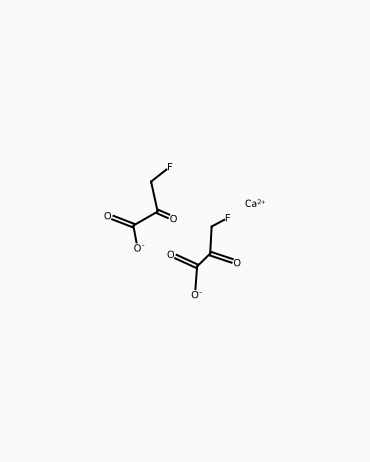 O=C([O-])C(=O)CF.O=C([O-])C(=O)CF.[Ca+2]